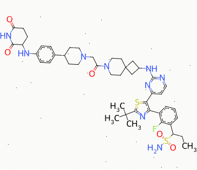 CCC(c1cccc(-c2nc(C(C)(C)C)sc2-c2ccnc(NC3CC4(CCN(C(=O)CN5CCC(c6ccc(NC7CCC(=O)NC7=O)cc6)CC5)CC4)C3)n2)c1F)S(N)(=O)=O